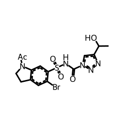 CC(=O)N1CCc2cc(Br)c(S(=O)(=O)NC(=O)n3cc(C(C)O)nn3)cc21